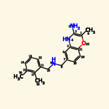 CC1=C(N)Nc2cc(CNCc3cccc(C)c3C)ccc2O1